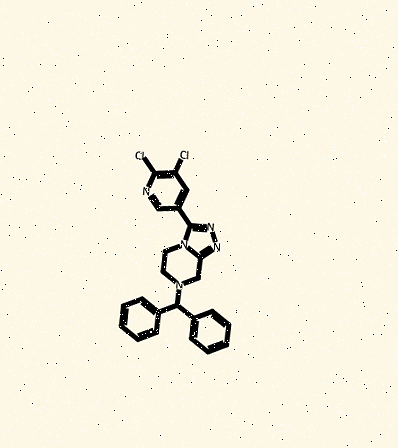 Clc1cc(-c2nnc3n2CCN(C(c2ccccc2)c2ccccc2)C3)cnc1Cl